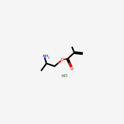 C=C(C)C(=O)OCC(C)N.Cl